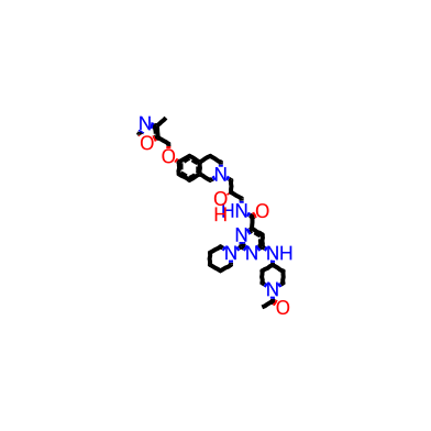 CC(=O)N1CCC(Nc2cc(C(=O)NC[C@H](O)CN3CCc4cc(OCc5ocnc5C)ccc4C3)nc(N3CCCCC3)n2)CC1